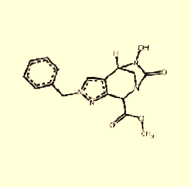 COC(=O)C1c2nn(Cc3ccccc3)cc2[C@H]2CN1C(=O)N2O